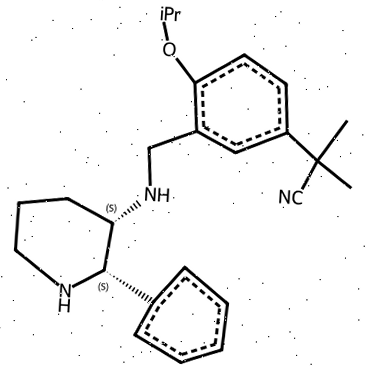 CC(C)Oc1ccc(C(C)(C)C#N)cc1CN[C@H]1CCCN[C@H]1c1ccccc1